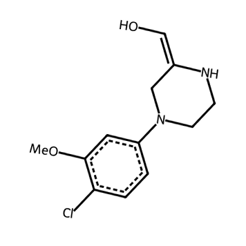 COc1cc(N2CCN/C(=C/O)C2)ccc1Cl